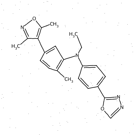 CCN(c1ccc(-c2nnco2)cc1)c1cc(-c2c(C)noc2C)ccc1C